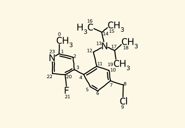 Cc1cc(-c2ccc(CCl)cc2CN(C(C)C)C(C)C)c(F)cn1